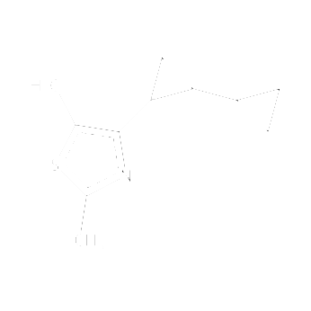 Cc1nc(C2CC2C2CC2)c(C)s1